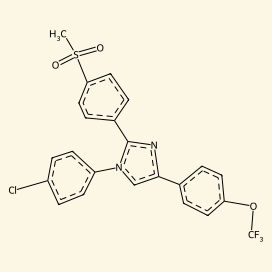 CS(=O)(=O)c1ccc(-c2nc(-c3ccc(OC(F)(F)F)cc3)cn2-c2ccc(Cl)cc2)cc1